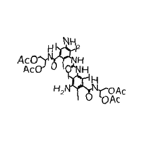 CC(=O)OCC(COC(C)=O)NC(=O)c1c(I)c(N)c(I)c(NC(=O)Nc2c(I)c(N)c(I)c(C(=O)NC(COC(C)=O)COC(C)=O)c2I)c1I